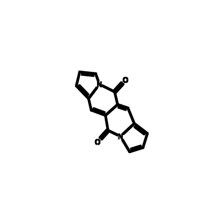 O=c1c2cc3cccn3c(=O)c2cc2cccn12